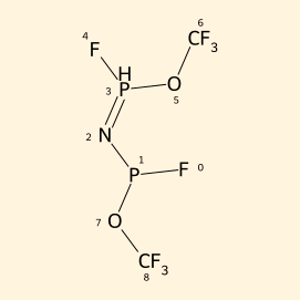 FP(/N=[PH](/F)OC(F)(F)F)OC(F)(F)F